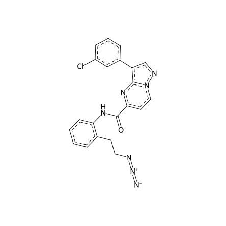 [N-]=[N+]=NCCc1ccccc1NC(=O)c1ccn2ncc(-c3cccc(Cl)c3)c2n1